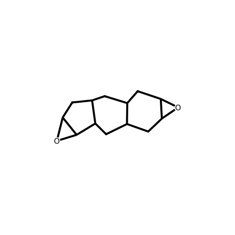 C1C2CC3OC3CC2CC2C1CC1OC12